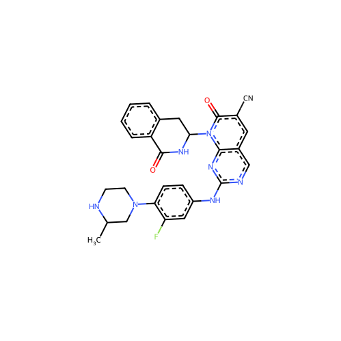 CC1CN(c2ccc(Nc3ncc4cc(C#N)c(=O)n(C5Cc6ccccc6C(=O)N5)c4n3)cc2F)CCN1